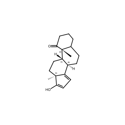 C[C@]12CC[C@H]3[C@@H](CCC4CCCC(=O)[C@]43C)C1=CC=C2O